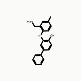 CNCc1cc(C)ccc1Pc1cc(-c2ccccc2)ccc1O